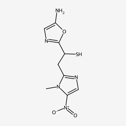 Cn1c([N+](=O)[O-])cnc1CC(S)c1ncc(N)o1